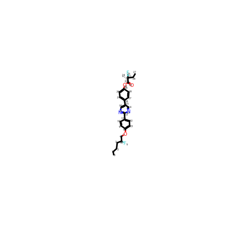 CCCC[C@H](F)COc1ccc(-c2ncc(-c3ccc(OC(=O)[C@@](C)(F)CC)cc3)cn2)cc1